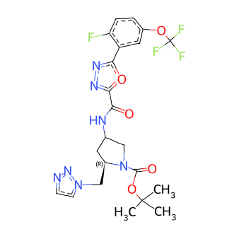 CC(C)(C)OC(=O)N1CC(NC(=O)c2nnc(-c3cc(OC(F)(F)F)ccc3F)o2)C[C@@H]1Cn1ccnn1